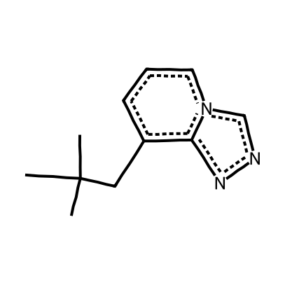 CC(C)(C)Cc1cccn2cnnc12